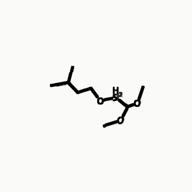 COC(OC)[SiH2]OCCC(C)C